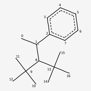 C[C](c1ccccc1)C(C(C)(C)C)C(C)(C)C